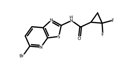 O=C(Nc1nc2ccc(Br)nc2s1)C1CC1(F)F